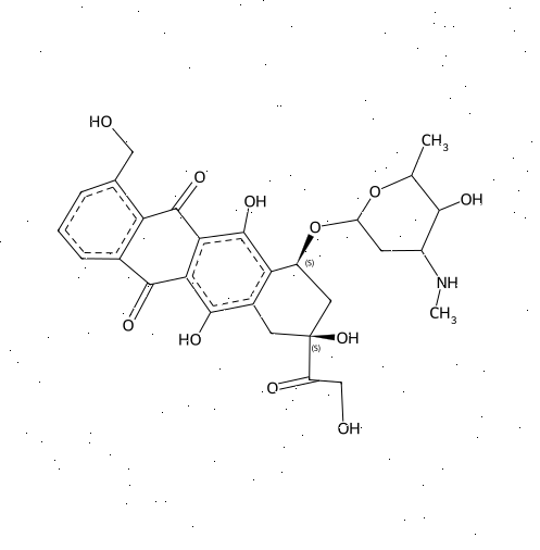 CNC1CC(O[C@H]2C[C@](O)(C(=O)CO)Cc3c(O)c4c(c(O)c32)C(=O)c2c(CO)cccc2C4=O)OC(C)C1O